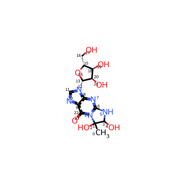 CC1(O)C(O)Nc2nc3c(ncn3[C@@H]3O[C@H](CO)[C@@H](O)[C@H]3O)c(=O)n21